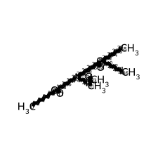 CCCCCCCCCOC(=O)CCCCCCCN(CCCCCCCC(=O)OC(CCCCCCCC)CCCCCCCC)CCCN(C)C(C)=O